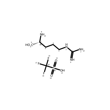 N=C(N)NCCC[C@@H](N)C(=O)O.O=S(=O)(O)C(F)(F)F